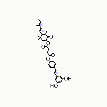 C/C=C(C)/C=C/C1=C(C)C(=O)C(OC(=O)CCC(=O)Oc2ccc(/C=C/c3cc(O)cc(O)c3)cc2)CC1(C)C